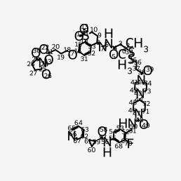 CC(C)(CC(=O)N/N=C1\CCS(=O)(=O)c2cc(OCCCC(=O)ON3C(=O)CCC3=O)ccc21)SSCCC(=O)N1CCN(C2CCN(C(=O)NCc3ccc(NC(=O)[C@H]4C[C@@H]4c4cccnc4)cc3F)CC2)CC1